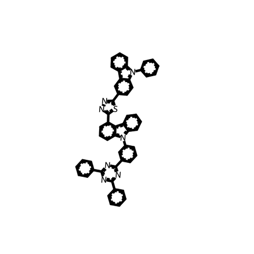 c1ccc(-c2nc(-c3ccccc3)nc(-c3cccc(-n4c5ccccc5c5c(-c6nnc(-c7ccc8c(c7)c7ccccc7n8-c7ccccc7)s6)cccc54)c3)n2)cc1